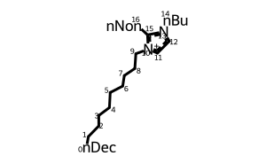 CCCCCCCCCCCCCCCCCCC[n+]1ccn(CCCC)c1CCCCCCCCC